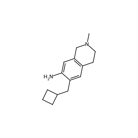 CN1CCc2cc(CC3CCC3)c(N)cc2C1